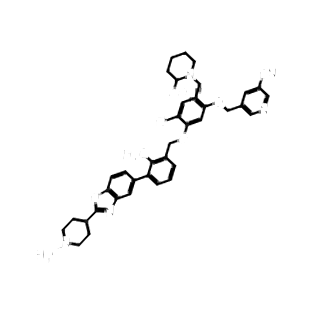 Cc1c(COc2cc(OCc3cncc(C#N)c3)c(CN3CCCCC3C(=O)O)cc2Cl)cccc1-c1ccc2oc(C3CCN(C)CC3)nc2c1